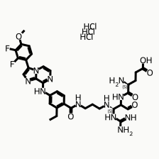 CCc1cc(Nc2nccn3c(-c4ccc(OC)c(F)c4F)cnc23)ccc1C(=O)NCCCN[C@@H](NC(=N)N)C(C=O)NC(=O)[C@@H](N)CCC(=O)O.Cl.Cl.Cl